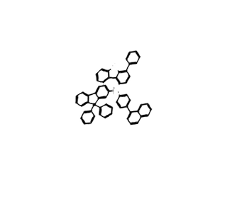 c1ccc(-c2ccc(N(c3ccc(-c4cccc5ccccc45)cc3)c3ccc4c(c3)C(c3ccccc3)(c3ccccc3)c3ccccc3-4)c3c2sc2ccccc23)cc1